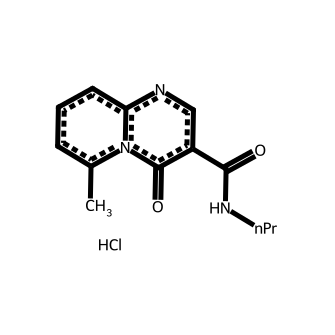 CCCNC(=O)c1cnc2cccc(C)n2c1=O.Cl